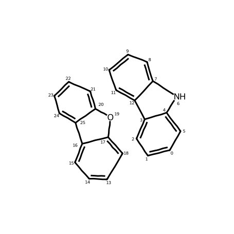 c1ccc2c(c1)[nH]c1ccccc12.c1ccc2c(c1)oc1ccccc12